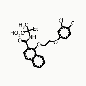 CCC(C)(NC(=O)c1ccc2ccccc2c1OCCOc1ccc(Cl)c(Cl)c1)C(=O)O